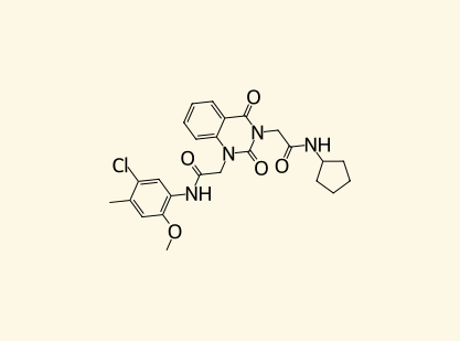 COc1cc(C)c(Cl)cc1NC(=O)Cn1c(=O)n(CC(=O)NC2CCCC2)c(=O)c2ccccc21